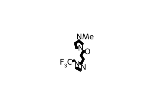 CNC1CCN(C(=O)CCc2nccn2CC(F)(F)F)C1